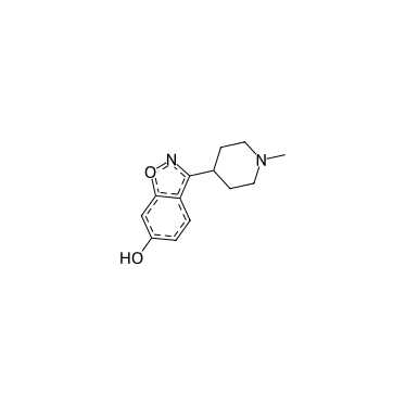 CN1CCC(c2noc3cc(O)ccc23)CC1